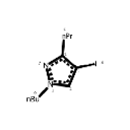 CCCCn1cc(I)c(CCC)n1